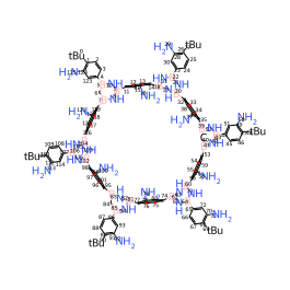 CC(C)(C)c1ccc(B2CB3NB(N2)c2ccc(c(N)c2)B2NB(NB(c4ccc(C(C)(C)C)c(N)c4)N2)c2ccc(c(N)c2)B2CB(NB(c4ccc(C(C)(C)C)c(N)c4)N2)c2ccc(c(N)c2)B2NB(NB(c4ccc(C(C)(C)C)c(N)c4)N2)c2ccc(c(N)c2)B2NB(CB(c4ccc(C(C)(C)C)c(N)c4)N2)c2ccc(c(N)c2)B2NB(NB(c4ccc(C(C)(C)C)c(N)c4)N2)c2ccc3c(N)c2)cc1N